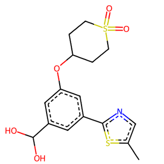 Cc1cnc(-c2cc(OC3CCS(=O)(=O)CC3)cc(C(O)O)c2)s1